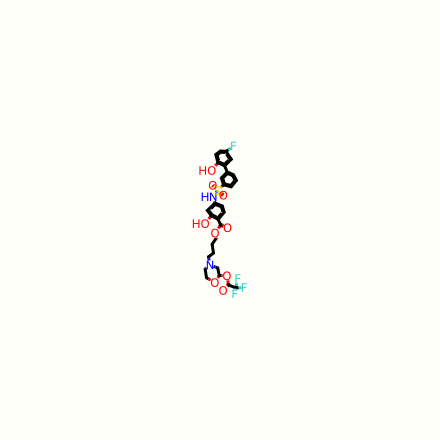 O=C(OCCCCN1CCOC(OC(=O)C(F)(F)F)C1)c1ccc(NS(=O)(=O)c2cccc(-c3cc(F)ccc3O)c2)cc1O